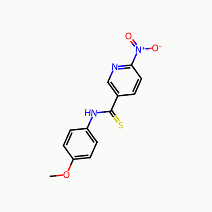 COc1ccc(NC(=S)c2ccc([N+](=O)[O-])nc2)cc1